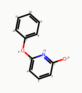 [O]c1cccc(Oc2ccccc2)n1